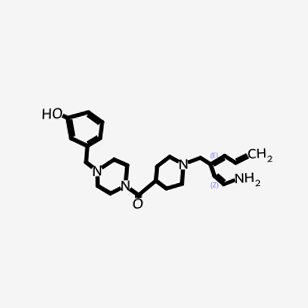 C=C/C=C(\C=C/N)CN1CCC(C(=O)N2CCN(Cc3cccc(O)c3)CC2)CC1